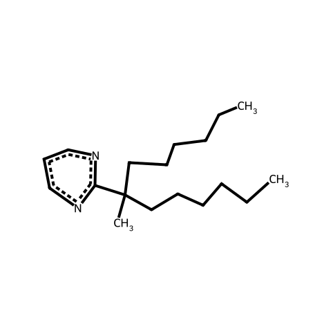 CCCCCCC(C)(CCCCCC)c1ncccn1